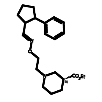 CCOC(=O)[C@@H]1CCCN(CCON=CC2CCCC2c2ccccc2)C1